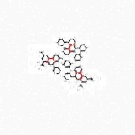 CC(C)(C)c1cc(-c2cc3c4c(c2)N(c2ccccc2-c2ccccc2)c2cc5c(cc2B4c2ccc(-c4ccccc4-c4ccccc4)cc2O3)B2c3ccc(-c4ccccc4-c4ccccc4)cc3Oc3cc(-c4cc(C(C)(C)C)cc(C(C)(C)C)c4)cc(c32)N5c2ccccc2-c2ccccc2)cc(C(C)(C)C)c1